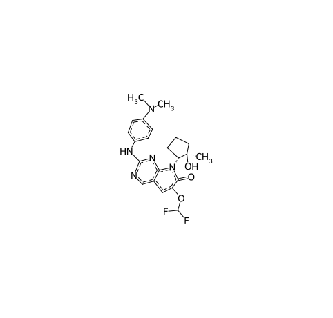 CN(C)c1ccc(Nc2ncc3cc(OC(F)F)c(=O)n([C@@H]4CCC[C@@]4(C)O)c3n2)cc1